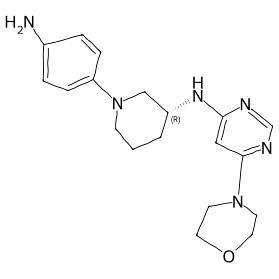 Nc1ccc(N2CCC[C@@H](Nc3cc(N4CCOCC4)ncn3)C2)cc1